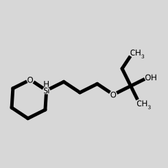 CCC(C)(O)OCCC[SiH]1CCCCO1